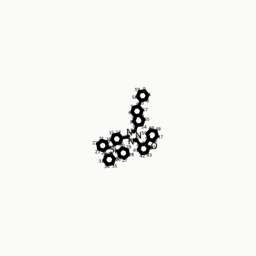 c1ccc(-c2ccc3cc(-c4nc(-c5cccc([Si](c6ccccc6)(c6ccccc6)c6ccccc6)c5)nc(-c5cccc6oc7ccccc7c56)n4)ccc3c2)cc1